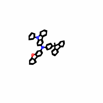 CC1(c2ccc(N(c3ccc4c(c3)oc3ccccc34)c3ccc4c(c3)c3ccccc3n4-c3ccccc3)cc2)c2ccccc2-c2ccccc21